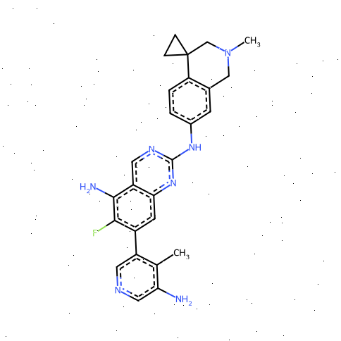 Cc1c(N)cncc1-c1cc2nc(Nc3ccc4c(c3)CN(C)CC43CC3)ncc2c(N)c1F